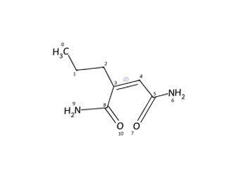 CCC/C(=C/C(N)=O)C(N)=O